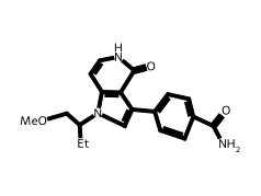 CCC(COC)n1cc(-c2ccc(C(N)=O)cc2)c2c(=O)[nH]ccc21